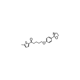 Cc1ccc(C(=O)CCCCOc2ccc(C3=NCCO3)cc2)s1